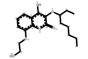 CCCCCC(CC)Oc1c(O)c2cccc(OCCO)c2oc1=O